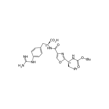 CC(C)C[C@H](NC(=O)OC(C)(C)C)c1nc(C(=O)N[C@@H](Cc2ccc(NC(=N)N)cc2)C(=O)O)co1